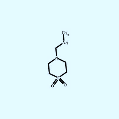 CNCN1CCS(=O)(=O)CC1